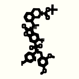 COc1ccc(CN(c2ccc(F)cn2)S(=O)(=O)c2cc3oc(=O)n([C@H](C)c4cccc5c4CN(C(=O)OC(C)(C)C)CC5)c3cc2F)c(OC)c1